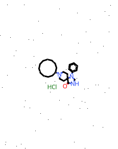 Cl.O=C1NCN(c2ccccc2)C12CCN(C1CCCCCCCCCCC1)CC2